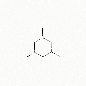 CC1C[C@@H](C)CN(C)C1